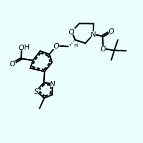 Cc1cnc(-c2cc(OC[C@H]3CN(C(=O)OC(C)(C)C)CCO3)cc(C(=O)O)c2)s1